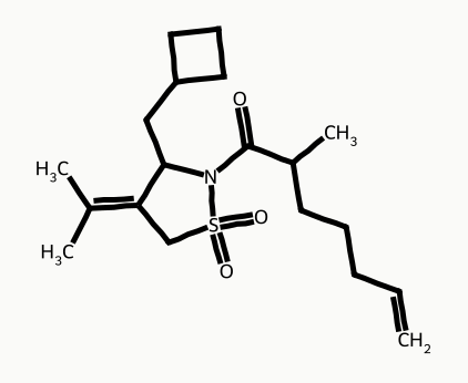 C=CCCCC(C)C(=O)N1C(CC2CCC2)C(=C(C)C)CS1(=O)=O